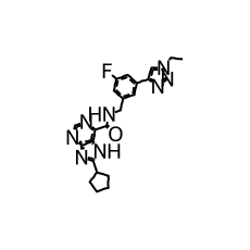 CCn1cc(-c2cc(F)cc(CNC(=O)c3ncnc4nc(C5CCCC5)[nH]c34)c2)nn1